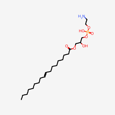 CCCCCCCCC=CCCCCCCCC(=O)OCC(O)COP(=O)(O)OCCN